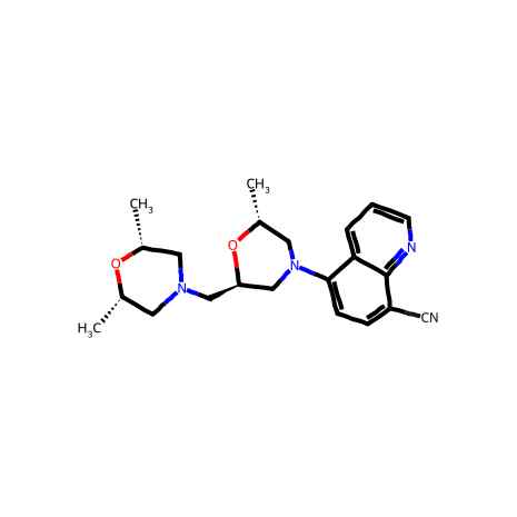 C[C@@H]1CN(c2ccc(C#N)c3ncccc23)C[C@@H](CN2C[C@@H](C)O[C@@H](C)C2)O1